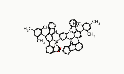 Cc1cc(C)c(-c2cc3c4c5c2c2ccccc2n5-c2cc5c(cc2B4n2c4ccccc4c4cccc-3c42)B2c3c(cc(-c4c(C)cc(C)cc4C)c4c6ccccc6n-5c34)-c3cccc4c5ccccc5n2c34)c(C)c1